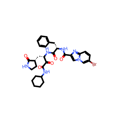 O=C(NC1CCCCC1)C(=O)[C@H](C[C@@H]1CCNC1=O)NC(=O)[C@H](Cc1ccccc1)NC(=O)c1cn2cc(Br)ccc2n1